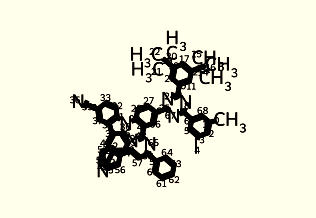 Cc1cc(I)cc(-c2nc(-c3cc(C(C)(C)C)cc(C(C)(C)C)c3)nc(-c3ccc(-n4c5ccc(C#N)cc5c5cc(C#N)ccc54)c(-c4nc(-c5ccccc5)cc(-c5ccccc5)n4)c3)n2)c1